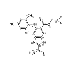 Cc1cc(C#N)ccc1Nc1c(C(=O)OCC2CC2)cc2[nH]c(C(N)=O)nc2c1F